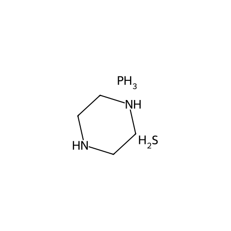 C1CNCCN1.P.S